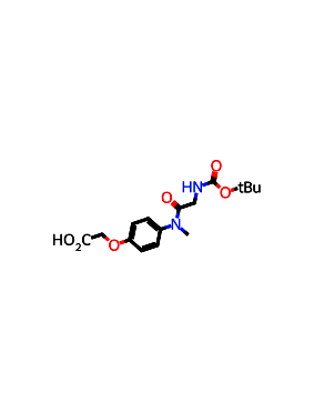 CN(C(=O)CNC(=O)OC(C)(C)C)c1ccc(OCC(=O)O)cc1